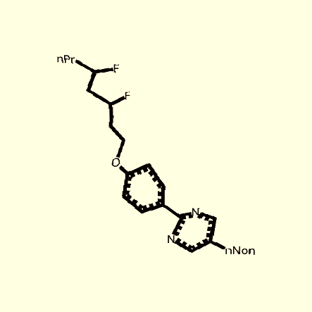 CCCCCCCCCc1cnc(-c2ccc(OCCC(F)CC(F)CCC)cc2)nc1